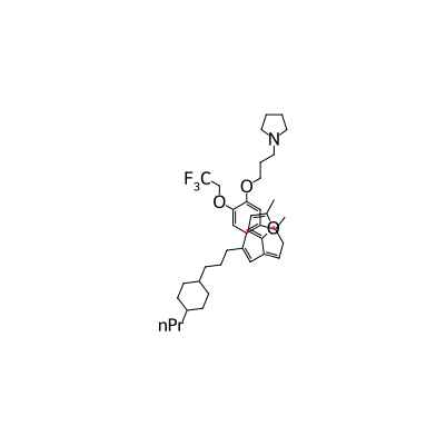 CCCC1CCC(CCC/C2=C/C(c3ccc(C)o3)=C/CC(C)c3cc(OCCCN4CCCC4)c(OCC(F)(F)F)cc32)CC1